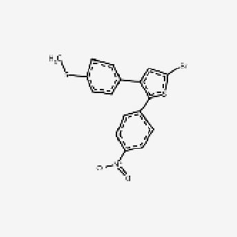 CSc1ccc(-c2cc(Br)sc2-c2ccc([N+](=O)[O-])cc2)cc1